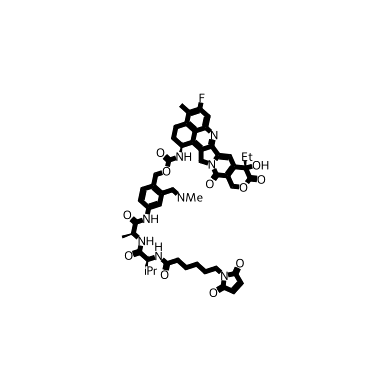 CC[C@@]1(O)C(=O)OCc2c1cc1n(c2=O)Cc2c-1nc1cc(F)c(C)c3c1c2[C@@H](NC(=O)OCc1ccc(NC(=O)[C@H](C)NC(=O)[C@@H](NC(=O)CCCCCN2C(=O)C=CC2=O)C(C)C)cc1CNC)CC3